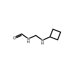 O=CNCNC1CCC1